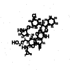 O=C(O)CC(C(=O)NC1CC1)[C@H](C[C@@H]1CCNC1=O)NC(=O)[C@H](CC(F)F)NC(=O)OC(c1ccccc1)C(F)(F)c1cccc(Cl)c1